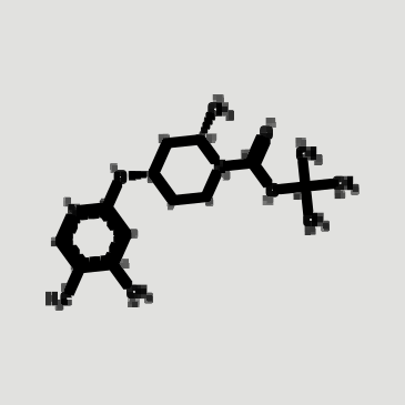 Cc1cnc(O[C@H]2CCN(C(=O)OC(C)(C)C)[C@@H](C)C2)cc1C